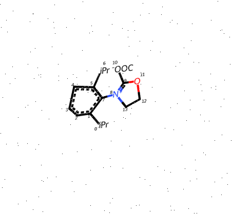 CC(C)c1cccc(C(C)C)c1[N+]1=C(C(=O)[O-])OCC1